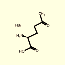 Br.CC(=O)CC[C@H](N)C(=O)O